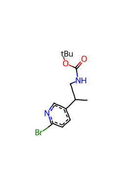 CC(CNC(=O)OC(C)(C)C)c1ccc(Br)nc1